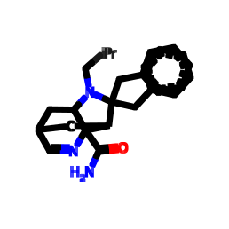 CC(C)CN1C2CC3C=NC2(C(N)=O)C(C3)C1(Cc1ccccc1)Cc1ccccc1